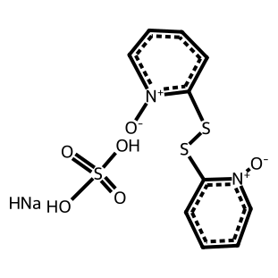 O=S(=O)(O)O.[NaH].[O-][n+]1ccccc1SSc1cccc[n+]1[O-]